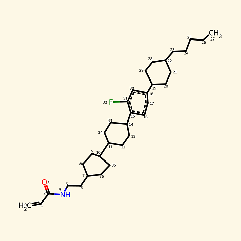 C=CC(=O)NCCC1CCC(C2CCC(c3ccc(C4CCC(CCCCC)CC4)cc3F)CC2)CC1